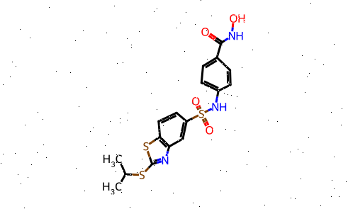 CC(C)Sc1nc2cc(S(=O)(=O)Nc3ccc(C(=O)NO)cc3)ccc2s1